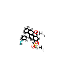 CC1C=CC(CS(C)(=O)=O)=c2ccc3c(c21)C(=O)C=C1C=CC[C@@H](c2ccc(F)cc2)C=31